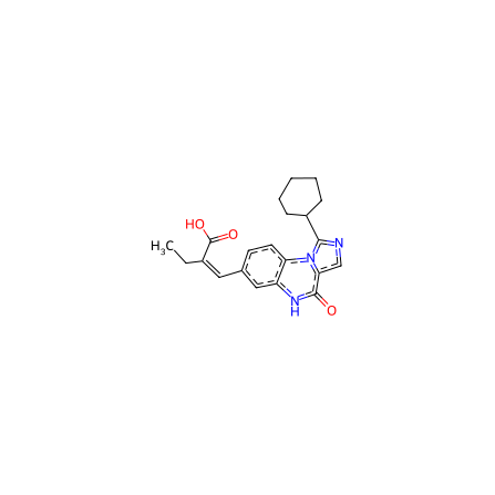 CCC(=Cc1ccc2c(c1)[nH]c(=O)c1cnc(C3CCCCC3)n12)C(=O)O